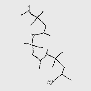 CNC(C)(C)CC(C)NC(C)(C)CC(C)NC(C)(C)CC(C)N